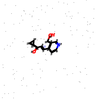 O=C(/C=C/c1ccncc1CO)C1CC1